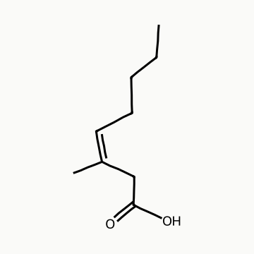 CCCCC=C(C)CC(=O)O